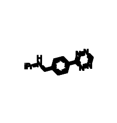 CC(C)NCc1ccc(-c2nncnn2)cc1